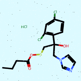 CCCC(=O)OSCC(O)(Cn1ccnc1)c1ccc(Cl)cc1Cl.Cl